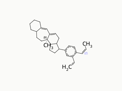 C=Cc1cc(C2CCC3C2CC=C2C=C4CCCCC4CC[C@@]23C)ccc1/C=C\C